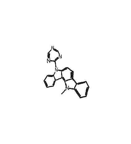 Cn1c2ccccc2c2ccc3c(c4ccccc4n3-c3ncncn3)c21